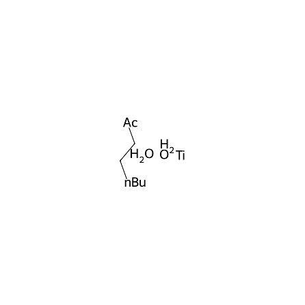 CCCCCCC(C)=O.O.O.[Ti]